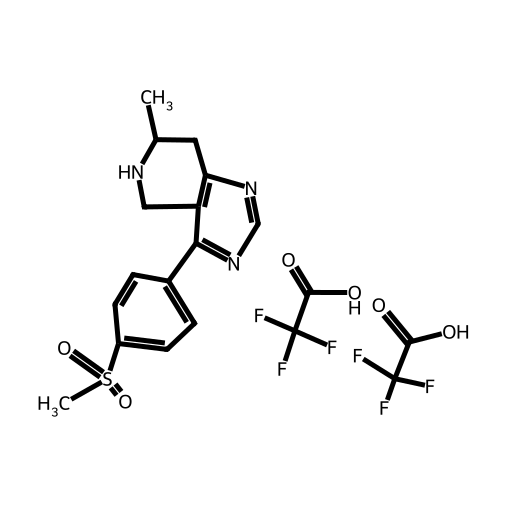 CC1Cc2ncnc(-c3ccc(S(C)(=O)=O)cc3)c2CN1.O=C(O)C(F)(F)F.O=C(O)C(F)(F)F